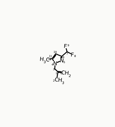 C=C(C)Cn1nc(C(F)F)cc1C